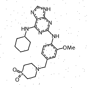 COc1cc(CN2CCS(=O)(=O)CC2)ccc1Nc1nc(NC2CCCCC2)c2nc[nH]c2n1